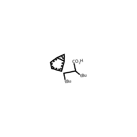 CC(C)(C)CC(C(=O)O)C(C)(C)C.c1cc2cc-2c1